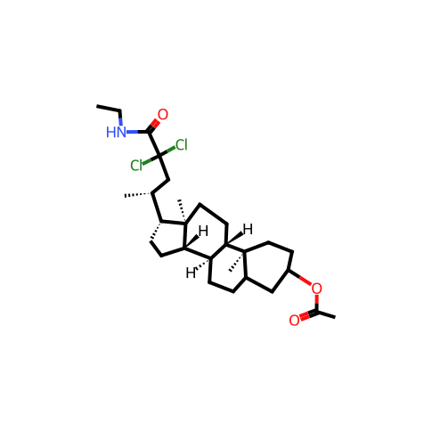 CCNC(=O)C(Cl)(Cl)C[C@@H](C)[C@H]1CC[C@H]2[C@@H]3CCC4CC(OC(C)=O)CC[C@]4(C)[C@H]3CC[C@]12C